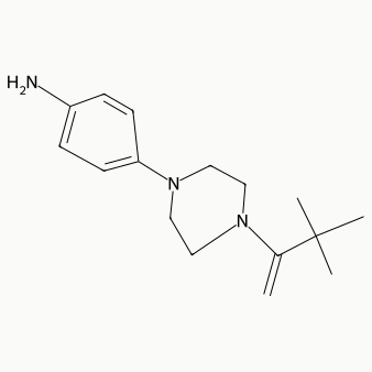 C=C(N1CCN(c2ccc(N)cc2)CC1)C(C)(C)C